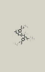 CCN(CC)c1ccc2c(c1)OC(C(C)(C)C)=C/C2=C(\C)C1=C(O)C(/C(C)=C2/C=C(C(C)(C)C)Oc3cc(N(CC)CC)ccc32)C1O